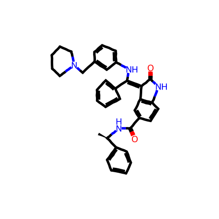 C[C@@H](NC(=O)c1ccc2c(c1)/C(=C(/Nc1cccc(CN3CCCCC3)c1)c1ccccc1)C(=O)N2)c1ccccc1